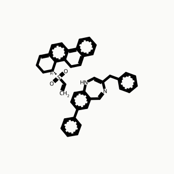 C1=NC(Cc2ccccc2)=CNc2ccc(-c3ccccc3)cc21.C=CS(=O)(=O)[C@@H]1CCC=c2ccc3c(c21)CC=c1ccccc1=3